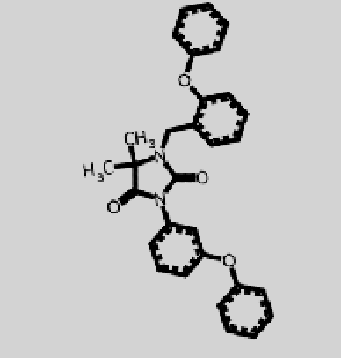 CC1(C)C(=O)N(c2cccc(Oc3ccccc3)c2)C(=O)N1Cc1ccccc1Oc1ccccc1